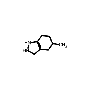 CC1CCC2=C(CNN2)C1